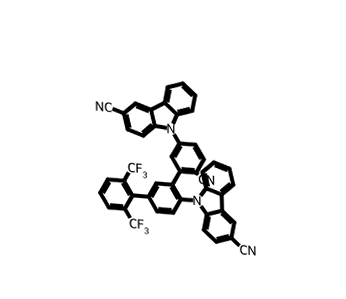 N#Cc1ccc2c(c1)c1ccccc1n2-c1ccc(C#N)c(-c2cc(-c3c(C(F)(F)F)cccc3C(F)(F)F)ccc2-n2c3ccccc3c3cc(C#N)ccc32)c1